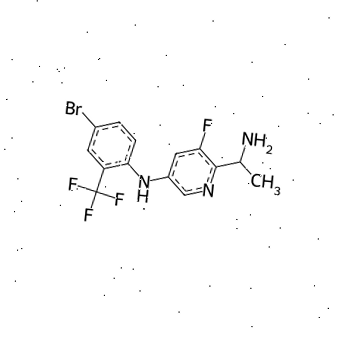 CC(N)c1ncc(Nc2ccc(Br)cc2C(F)(F)F)cc1F